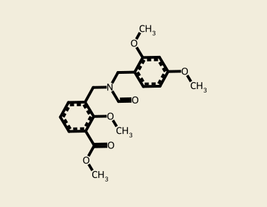 COC(=O)c1cccc(CN(C=O)Cc2ccc(OC)cc2OC)c1OC